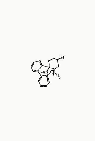 C=C1CC(CC)CCC1(O)c1ccccc1-c1ccccc1Cl